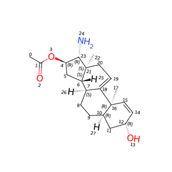 CC(=O)O[C@@H]1C[C@H]2[C@@H]3CC[C@@H]4C[C@@H](O)C=C[C@]4(C)C3=CC[C@]2(C)[C@H]1N